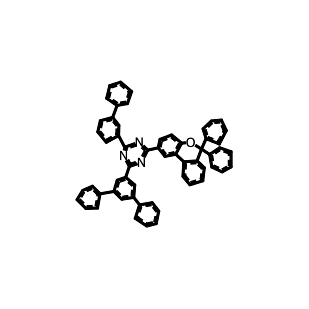 c1ccc(-c2cccc(-c3nc(-c4cc(-c5ccccc5)cc(-c5ccccc5)c4)nc(-c4ccc5c(c4)-c4ccccc4C(c4ccccc4)(c4ccccc4)O5)n3)c2)cc1